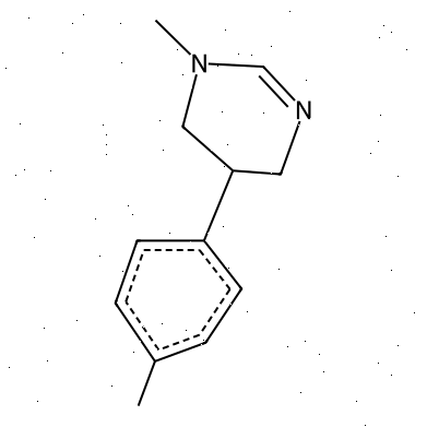 Cc1ccc(C2CN=CN(C)C2)cc1